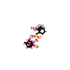 CC1(C)C2CCC1(CS(=O)(=O)On1c(=O)c3ccc(cc3)c1=O)C(=O)C2